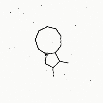 CC1CN2CCCCCCCC2C1C